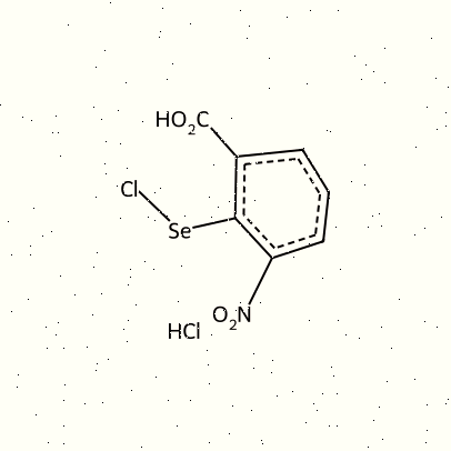 Cl.O=C(O)c1cccc([N+](=O)[O-])c1[Se]Cl